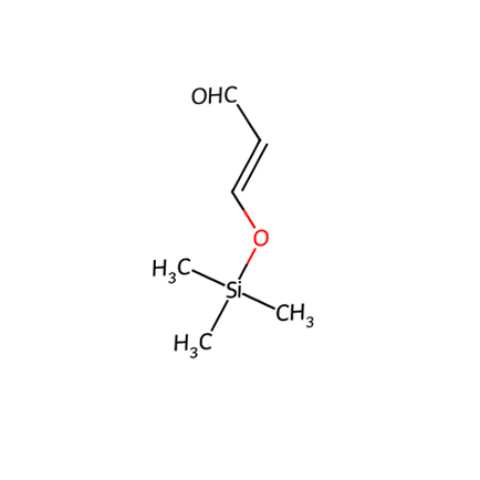 C[Si](C)(C)OC=CC=O